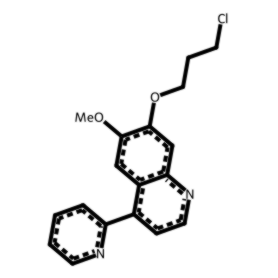 COc1cc2c(-c3ccccn3)ccnc2cc1OCCCCl